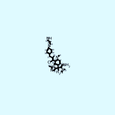 C=Nc1ccc(C(C)(/C(=C/N)N(C)N)c2cnc(C)n2C)cc1/C(Cl)=C(\C)Cc1ccc(N/C=C\C=N)cc1